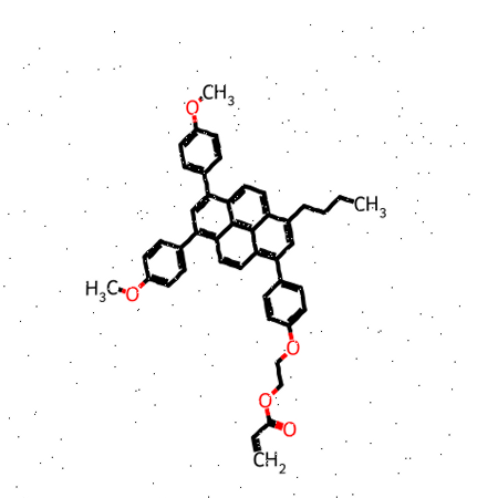 C=CC(=O)OCCOc1ccc(-c2cc(CCCC)c3ccc4c(-c5ccc(OC)cc5)cc(-c5ccc(OC)cc5)c5ccc2c3c45)cc1